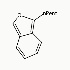 CCCCCc1occ2ccccc12